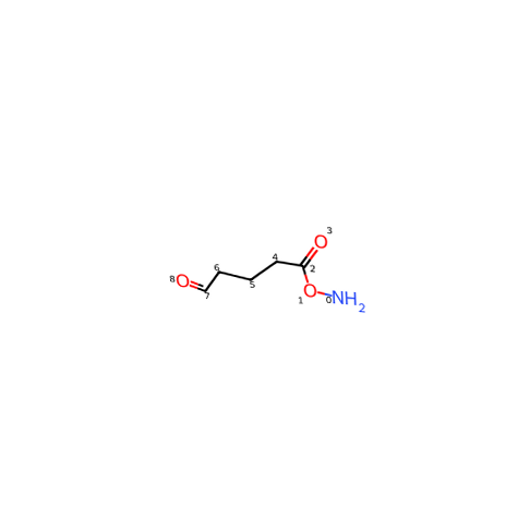 NOC(=O)CCCC=O